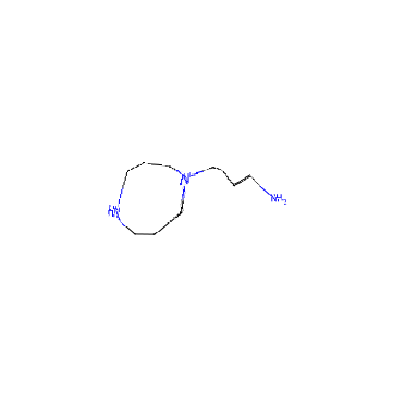 NCCCN1CCCNCCC1